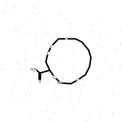 NC(=O)C1CCCCCCCCCCCCCNC1